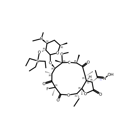 CC[C@@H]1OC(=O)[C@@](C)(F)C(=O)[C@H](C)[C@@H](OC2O[C@H](C)C[C@H](N(C)C)[C@H]2O[Si](CC)(CC)CC)[C@](C)(OC)C[C@@H](C)C(=O)[C@H](C)[C@H]2[C@H](/C(C)=N/O)C(=O)O[C@]21C